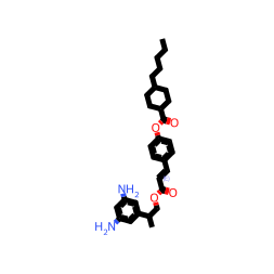 CCCCCC1CCC(C(=O)Oc2ccc(/C=C/C(=O)OCC(C)c3cc(N)cc(N)c3)cc2)CC1